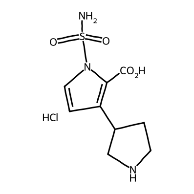 Cl.NS(=O)(=O)n1ccc(C2CCNC2)c1C(=O)O